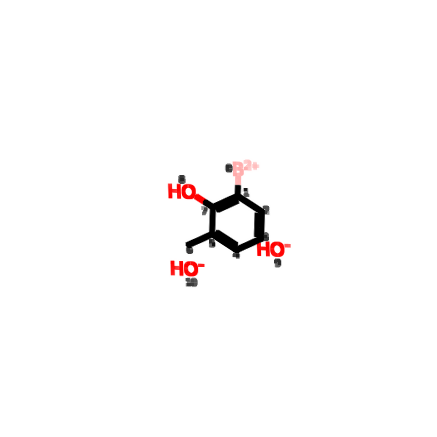 [B+2]c1cccc(C)c1O.[OH-].[OH-]